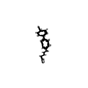 Cc1ccc(-c2ccc(OCCCCl)cc2)cc1